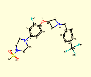 CS(=O)(=O)N1CCN(c2ccc(OC3CN(Cc4ccc(C(F)(F)F)cc4)C3)c(F)c2)CC1